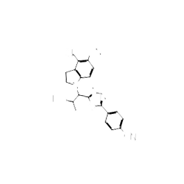 CC(O)C(c1nnc(-c2ccc(C#N)cc2)o1)N1CCc2c1ccc(C#N)c2Cl